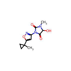 CN1C(=O)N(c2cc(C3(C)CC3)on2)C(=O)C1O